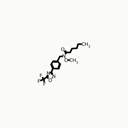 CCCCCC(=O)N(Cc1ccc(-c2noc(C(F)(F)F)n2)cc1)OC